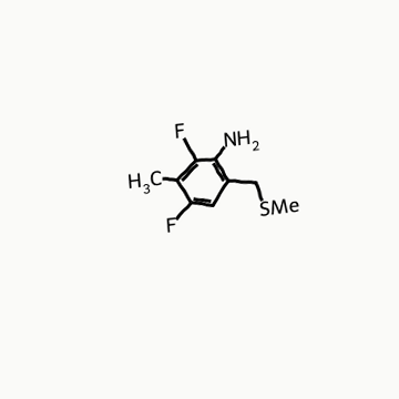 CSCc1cc(F)c(C)c(F)c1N